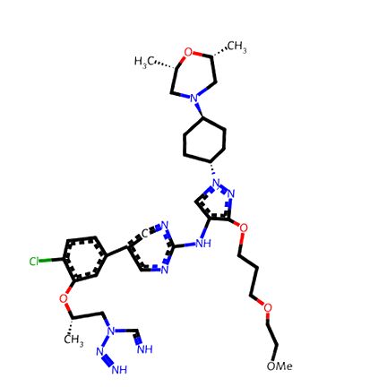 COCCOCCCOc1nn([C@H]2CC[C@H](N3C[C@@H](C)O[C@@H](C)C3)CC2)cc1Nc1ncc(-c2ccc(Cl)c(O[C@@H](C)CN(C=N)N=N)c2)cn1